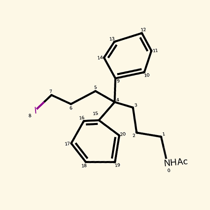 CC(=O)NCCCC(CCCI)(c1ccccc1)c1ccccc1